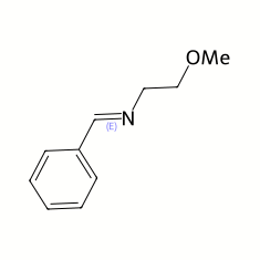 COCC/N=C/c1ccccc1